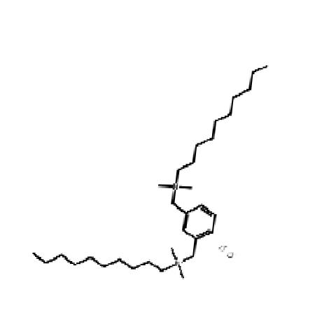 CCCCCCCCCC[N+](C)(C)Cc1cccc(C[N+](C)(C)CCCCCCCCCC)c1.[Cl-].[Cl-]